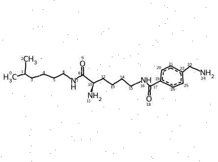 CC(C)CCCCNC(=O)[C@H](N)CCCCNC(=O)c1ccc(CN)cc1